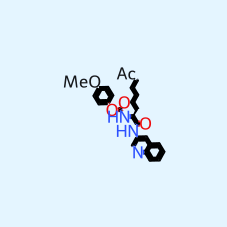 COc1ccc(OC(=O)N[C@@H](CCCCCC(C)=O)C(=O)Nc2cnc3ccccc3c2)cc1